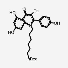 CCCCCCCCCCCCCCCCn1c(-c2ccc(O)cc2)c(O)c(=O)c2c(O)cc(O)cc21